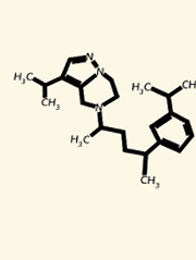 CC(C)c1cccc(C(C)CCC(C)N2CCn3ncc(C(C)C)c3C2)c1